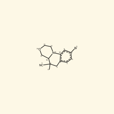 CC1(C#N)Cc2ccc(Br)cc2N2CCOCC21